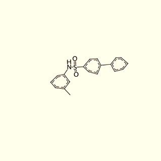 Cc1cccc(NS(=O)(=O)c2ccc(-c3ccccc3)cc2)c1